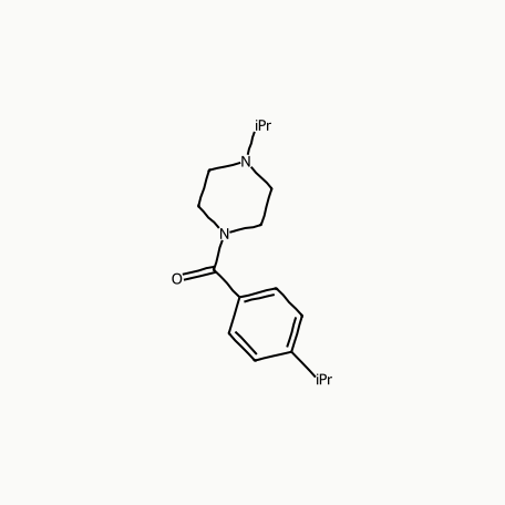 CC(C)c1ccc(C(=O)N2CCN(C(C)C)CC2)cc1